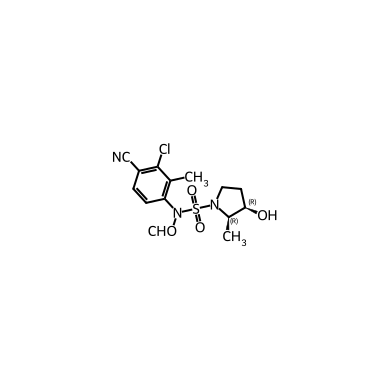 Cc1c(N(C=O)S(=O)(=O)N2CC[C@@H](O)[C@H]2C)ccc(C#N)c1Cl